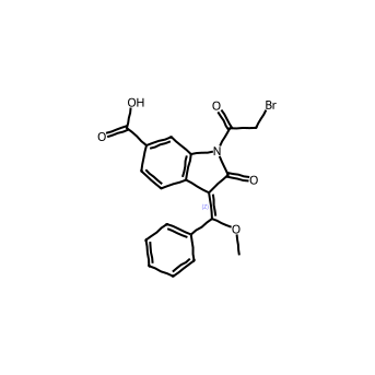 CO/C(=C1\C(=O)N(C(=O)CBr)c2cc(C(=O)O)ccc21)c1ccccc1